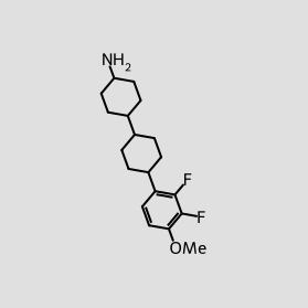 COc1ccc(C2CCC(C3CCC(N)CC3)CC2)c(F)c1F